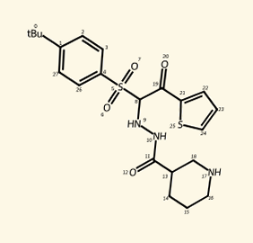 CC(C)(C)c1ccc(S(=O)(=O)C(NNC(=O)C2CCCNC2)C(=O)c2cccs2)cc1